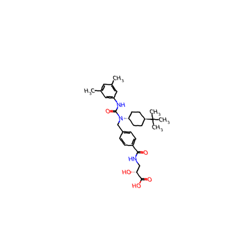 Cc1cc(C)cc(NC(=O)N(Cc2ccc(C(=O)NC[C@@H](O)C(=O)O)cc2)[C@H]2CC[C@H](C(C)(C)C)CC2)c1